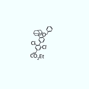 CCOC(=O)C=Cc1cc(Cl)c(-c2ccc(OCc3ccccc3)c(C34CC5CC(CC(C5)C3)C4)c2)c(Cl)c1